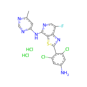 Cc1cc(Nc2ncc(F)c3nc(-c4c(Cl)cc(N)cc4Cl)sc23)ncn1.Cl.Cl